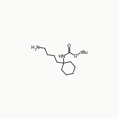 CC(C)(C)OC(=O)NC1(CCCCN)CCCCC1